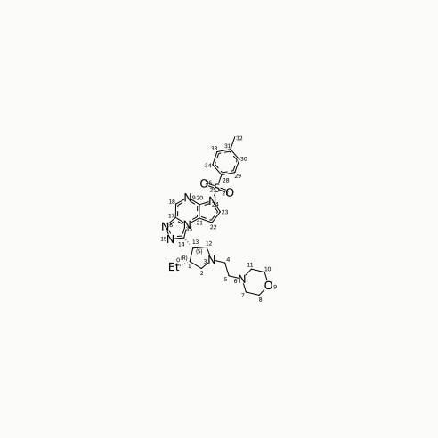 CC[C@H]1CN(CCN2CCOCC2)C[C@H]1c1nnc2cnc3c(ccn3S(=O)(=O)c3ccc(C)cc3)n12